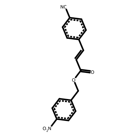 N#Cc1ccc(/C=C/C(=O)OCc2ccc([N+](=O)[O-])cc2)cc1